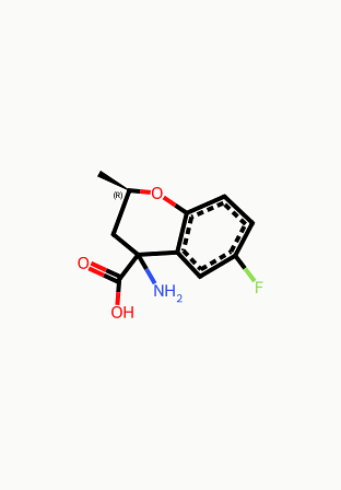 C[C@@H]1CC(N)(C(=O)O)c2cc(F)ccc2O1